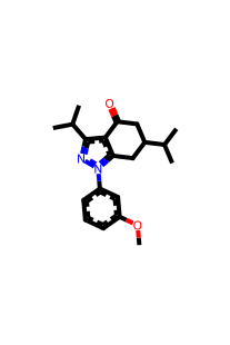 COc1cccc(-n2nc(C(C)C)c3c2CC(C(C)C)CC3=O)c1